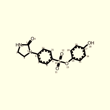 O=C1NCCN1c1ccc(S(=O)(=O)Oc2ccc(O)cc2)cc1